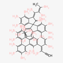 B=C1/C(=C(B)\C(B)=C(\B)C)c2c(B)c(B)c(B)c(B)c2C12c1c(B)c(B)c(B)c(B)c1-c1c(C/C(B)=C(B)\C(=C(\B)C#C)c3c(B)c(B)c4c5c(B)c(B)c(B)c(B)c5c5c(B)c(B)c(B)c(B)c5c4c3B)c(B)c(B)c(B)c12